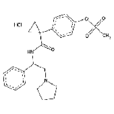 CS(=O)(=O)Oc1ccc(C2(C(=O)NC(CN3CCCC3)c3ccccc3)CC2)cc1.Cl